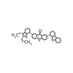 C=Cc1c(/C=C\C)sc2c(-c3ccc4sc5ccc(-c6cccc7c6sc6ccccc67)cc5c(=O)c4c3)cccc12